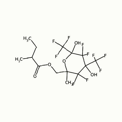 CCC(C)C(=O)OCC1(C)OC(O)(C(F)(F)F)C(F)(F)C(O)(C(F)(F)F)C1(F)F